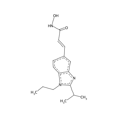 CCCn1c(C(C)C)nc2cc(/C=C/C(=O)NO)ccc21